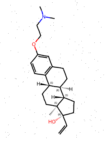 C=C[C@]1(O)CC[C@H]2[C@@H]3CCc4cc(OCCN(C)C)ccc4[C@H]3CC[C@@]21C